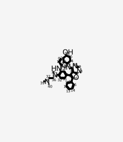 C=CC(=O)Nc1cc(-c2c(-c3ccccc3)oc3ncnc(NC4CCC(O)CC4)c23)ccc1N(C)CCN(C)C